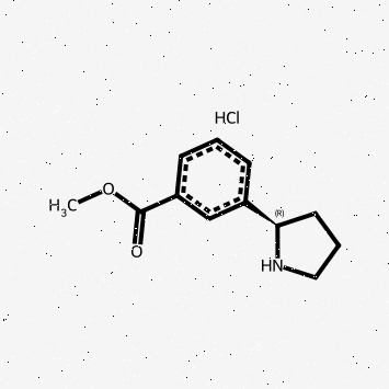 COC(=O)c1cccc([C@H]2CCCN2)c1.Cl